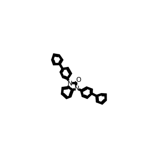 O=c1n(-c2ccc(-c3ccccc3)cc2)c2ccccc2n1-c1ccc(-c2ccccc2)cc1